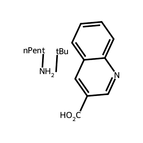 CC(C)(C)C.CCCCCN.O=C(O)c1cnc2ccccc2c1